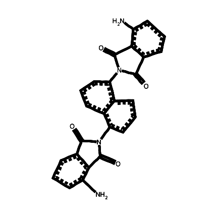 Nc1cccc2c1C(=O)N(c1cccc3c(N4C(=O)c5cccc(N)c5C4=O)cccc13)C2=O